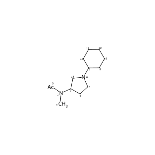 CC(=O)N(C)C1CCN(C2C[CH]CCC2)C1